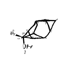 CC(C)[C@H](O)C1C2C3CC3C1C1CC12